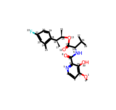 COc1ccnc(C(=O)N[C@H](C(=O)O[C@H](C)[C@@H](C)c2ccc(F)cc2C)C(C)C)c1O